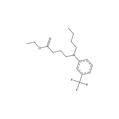 CCCCN(CCCC(=O)OCC)c1cccc(C(F)(F)F)c1